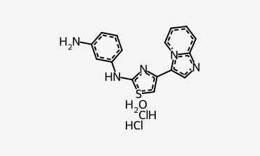 Cl.Cl.Nc1cccc(Nc2nc(-c3cnc4ccccn34)cs2)c1.O